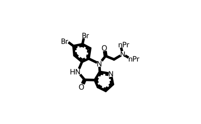 CCCN(CCC)CC(=O)N1c2cc(Br)c(Br)cc2NC(=O)c2cccnc21